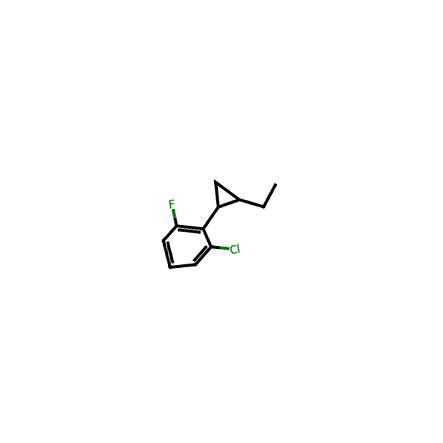 CCC1CC1c1c(F)cccc1Cl